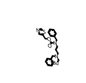 CC(C)(C)CN(CCCN(Cc1ccccc1)C(=O)OCc1cncs1)Cc1ccccc1